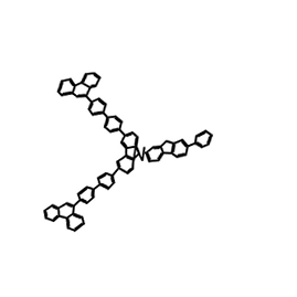 c1ccc(-c2ccc3c(c2)Cc2cc(-n4c5ccc(-c6ccc(-c7ccc(-c8cc9ccccc9c9ccccc89)cc7)cc6)cc5c5cc(-c6ccc(-c7ccc(-c8cc9ccccc9c9ccccc89)cc7)cc6)ccc54)ccc2-3)cc1